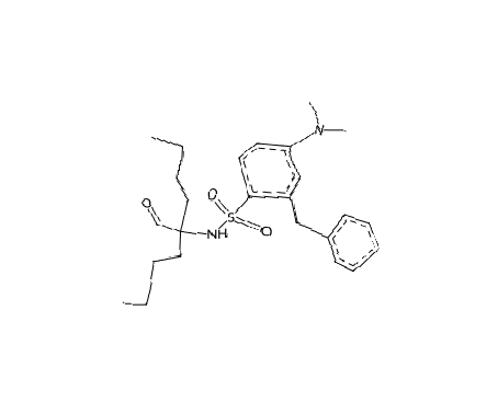 CCCCC(C=O)(CCCC)NS(=O)(=O)c1ccc(N(C)C)cc1Cc1ccccc1